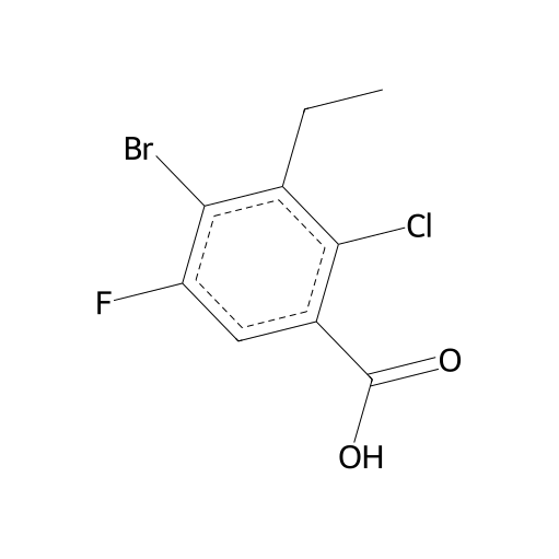 CCc1c(Cl)c(C(=O)O)cc(F)c1Br